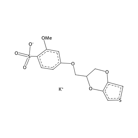 COc1cc(OCC2COc3cscc3O2)ccc1S(=O)(=O)[O-].[K+]